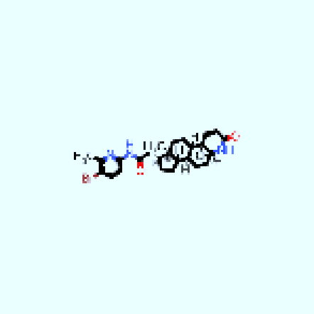 Cc1nc(NC(=O)C[C@H]2CC[C@H]3[C@@H]4CC[C@H]5NC(=O)C=C[C@]5(C)[C@H]4CC[C@]23C)ccc1Br